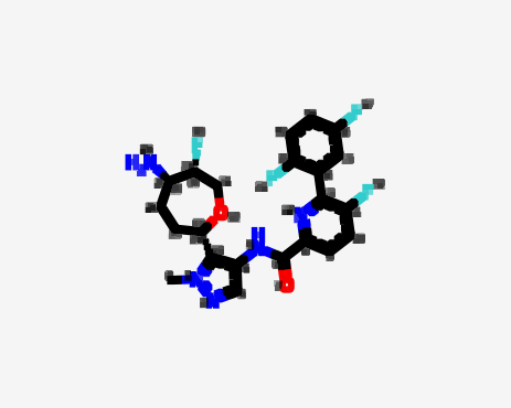 Cn1ncc(NC(=O)c2ccc(F)c(-c3cc(F)ccc3F)n2)c1[C@@H]1CC[C@@H](N)[C@H](F)CO1